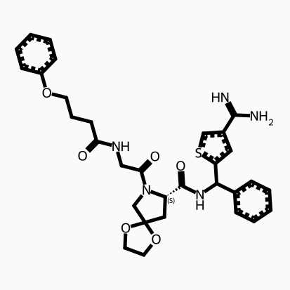 N=C(N)c1csc(C(NC(=O)[C@@H]2CC3(CN2C(=O)CNC(=O)CCCOc2ccccc2)OCCO3)c2ccccc2)c1